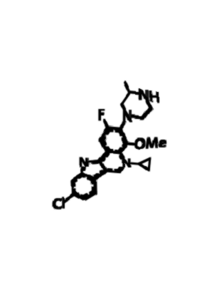 COc1c(N2CCNC(C)C2)c(F)cc2c3nc4cc(Cl)ccc4c-3cn(C3CC3)c12